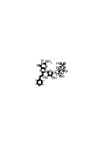 Nc1nc2c(nc(C=Cc3ccccc3)n2[C@@H]2O[C@H](COP(=O)(O)OP(=O)(O)OP(=O)(O)O)[C@@H](O)[C@H]2O)c(=O)[nH]1